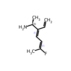 C=C/C(=C\C=C(/C)F)[C@H](C)N